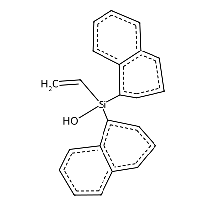 C=C[Si](O)(c1cccc2ccccc12)c1cccc2ccccc12